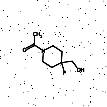 CC(=O)N1CCC(F)(CO)CC1